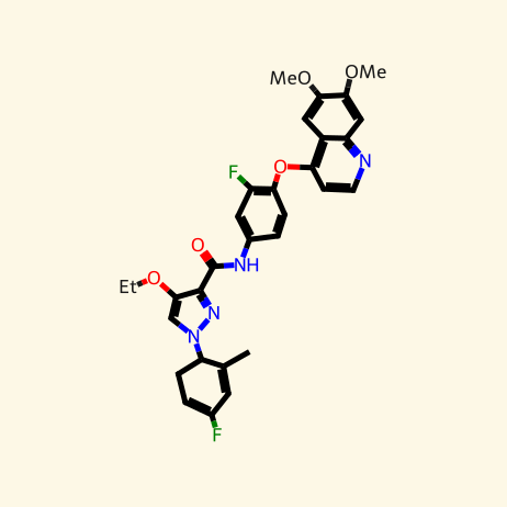 CCOc1cn(C2CC=C(F)C=C2C)nc1C(=O)Nc1ccc(Oc2ccnc3cc(OC)c(OC)cc23)c(F)c1